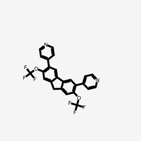 FC(F)(F)Oc1cc2c(cc1-c1ccncc1)-c1cc(-c3ccncc3)c(OC(F)(F)F)cc1C2